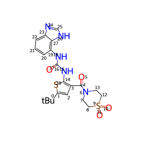 CC(C)(C)c1cc(C(=O)N2CCS(=O)(=O)CC2)c(NC(=O)Nc2cccc3nc[nH]c23)s1